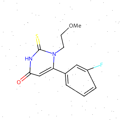 COCCn1c(-c2cccc(F)c2)cc(=O)[nH]c1=S